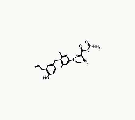 C=CCc1cc(Cc2c(C)cc(N(CC)N=C(C#N)C(=O)OC(N)=O)cc2C)ccc1O